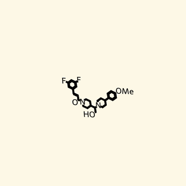 COc1ccc(C2CCN(C(CO)C3CCN(C(=O)/C=C/c4cc(F)cc(F)c4)CC3)CC2)cc1